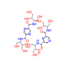 O=C(NC(CO)C(O)CO)c1cnc(C(=O)NC(CO)C(O)CO)cn1.O=C(NC(CO)C(O)CO)c1cncc(C(=O)NC(CO)C(O)CO)n1